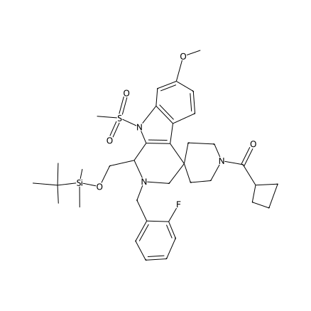 COc1ccc2c3c(n(S(C)(=O)=O)c2c1)C(CO[Si](C)(C)C(C)(C)C)N(Cc1ccccc1F)CC31CCN(C(=O)C2CCC2)CC1